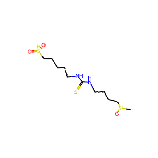 C[S+]([O-])CCCCNC(=S)NCCCCC[SH](=O)=O